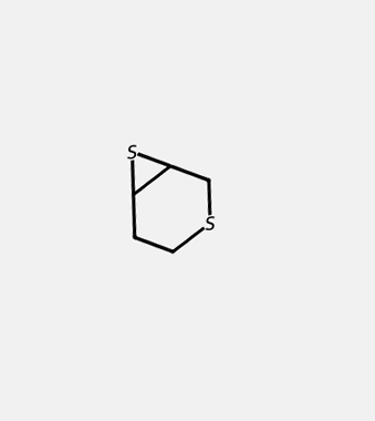 C1CC2SC2CS1